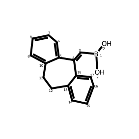 OB(O)C=C1c2ccccc2CCc2ccccc21